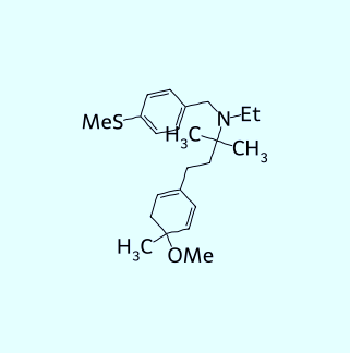 CCN(Cc1ccc(SC)cc1)C(C)(C)CCC1=CCC(C)(OC)C=C1